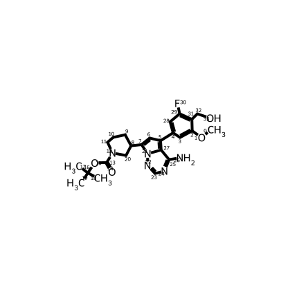 COc1cc(-c2cc(C3CCCN(C(=O)OC(C)(C)C)C3)n3ncnc(N)c23)cc(F)c1CO